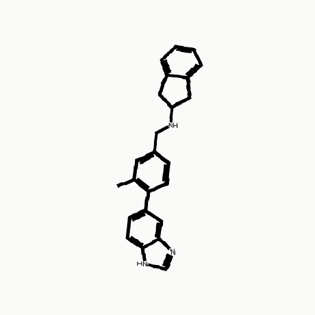 Cc1cc(CNC2Cc3ccccc3C2)ccc1-c1ccc2[nH]cnc2c1